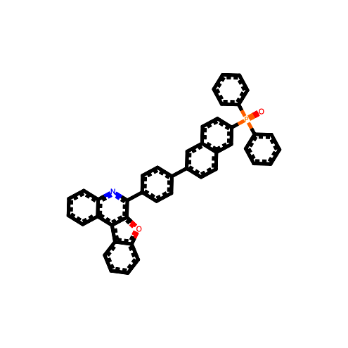 O=P(c1ccccc1)(c1ccccc1)c1ccc2cc(-c3ccc(-c4nc5ccccc5c5c4oc4ccccc45)cc3)ccc2c1